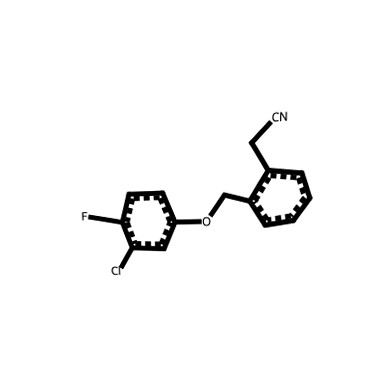 N#CCc1ccccc1COc1ccc(F)c(Cl)c1